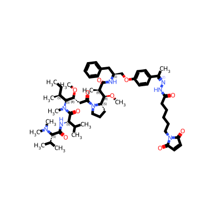 CC[C@H](C)[C@@H]([C@@H](CC(=O)N1CCC[C@H]1[C@H](OC)[C@@H](C)C(=O)N[C@H](COc1ccc(/C(C)=N\NC(=O)CCCCCN2C(=O)C=CC2=O)cc1)Cc1ccccc1)OC)N(C)C(=O)[C@@H](NC(=O)[C@H](C(C)C)N(C)C)C(C)C